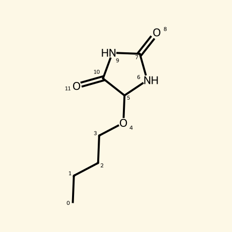 CCCCOC1NC(=O)NC1=O